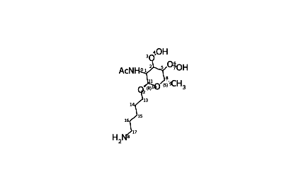 CC(=O)NC1C(OO)C(OO)[C@H](C)O[C@H]1OCCCCCN